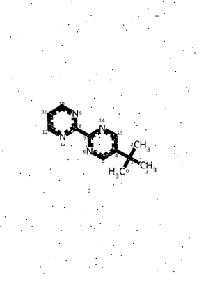 CC(C)(C)c1cnc(-c2ncccn2)nc1